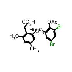 CC(=O)Oc1c(Br)cc(Br)cc1C(=O)O.Cc1cc(C)c(CC(=O)O)c(C)c1